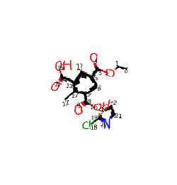 CCOC(=O)c1cc(C(=O)O)c(C)c(C(=O)O)c1.Clc1nccs1